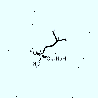 [CH2]C(C)CCS(=O)(=O)O.[NaH]